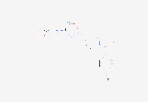 CC(C)c1ccc(C(=O)N2CCC(c3nc(N4CC5(COC5)C4)no3)CC2)cc1